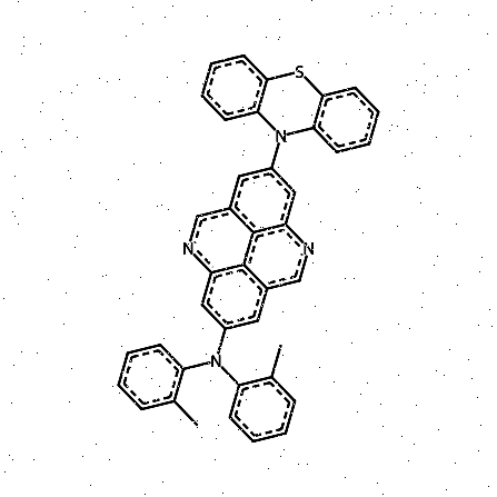 Cc1ccccc1N(c1cc2cnc3cc(N4c5ccccc5Sc5ccccc54)cc4cnc(c1)c2c43)c1ccccc1C